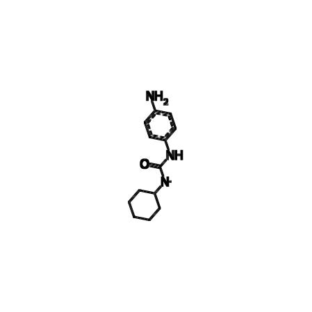 Nc1ccc(NC(=O)[N]C2CCCCC2)cc1